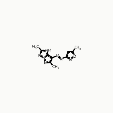 Cc1nn2nc(C)c(N=Nc3cc(C)on3)c2[nH]1